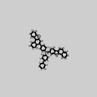 c1ccc(-c2ccc(N(c3ccc(-c4cc5oc6ccccc6c5c5ccccc45)cc3)c3ccc4c(c3)sc3c5ccccc5ccc43)cc2)cc1